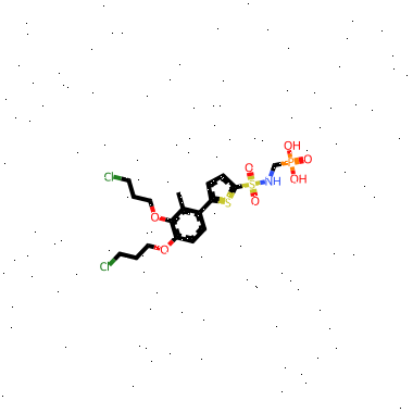 Cc1c(-c2ccc(S(=O)(=O)NCP(=O)(O)O)s2)ccc(OCCCCl)c1OCCCCl